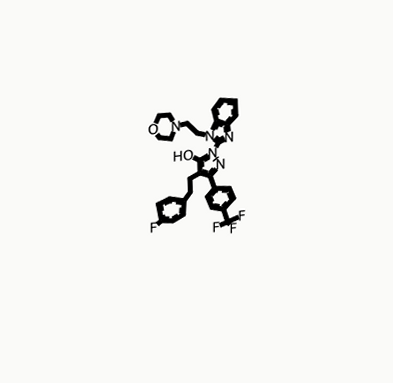 Oc1c(CCc2ccc(F)cc2)c(-c2ccc(C(F)(F)F)cc2)nn1-c1nc2ccccc2n1CCN1CCOCC1